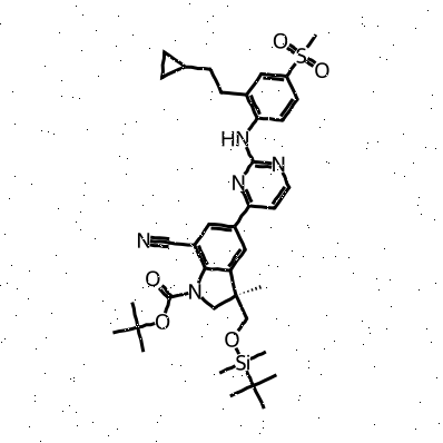 CC(C)(C)OC(=O)N1C[C@](C)(CO[Si](C)(C)C(C)(C)C)c2cc(-c3ccnc(Nc4ccc(S(C)(=O)=O)cc4CCC4CC4)n3)cc(C#N)c21